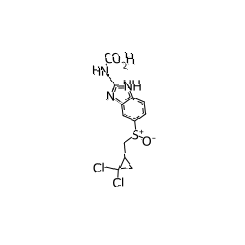 O=C(O)Nc1nc2cc([S+]([O-])CC3CC3(Cl)Cl)ccc2[nH]1